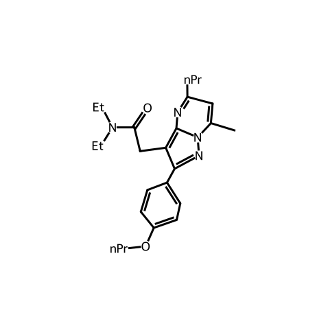 CCCOc1ccc(-c2nn3c(C)cc(CCC)nc3c2CC(=O)N(CC)CC)cc1